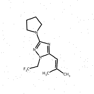 CC(C)=Cc1nc(N2CCCC2)nn1CC(F)(F)F